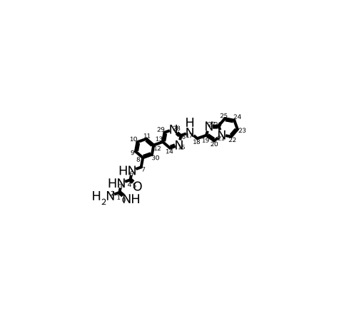 N=C(N)NC(=O)NCc1cccc(-c2cnc(NCc3cn4ccccc4n3)nc2)c1